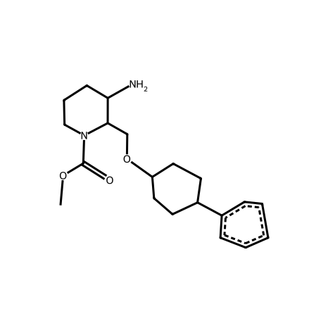 COC(=O)N1CCCC(N)C1COC1CCC(c2ccccc2)CC1